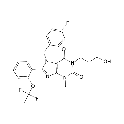 Cn1c(=O)n(CCCO)c(=O)c2c1nc(-c1ccccc1OC(C)(F)F)n2Cc1ccc(F)cc1